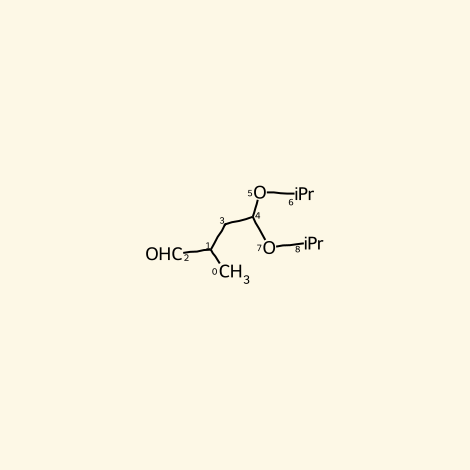 CC(C=O)CC(OC(C)C)OC(C)C